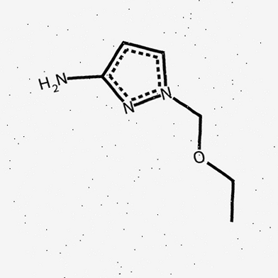 CCOCn1ccc(N)n1